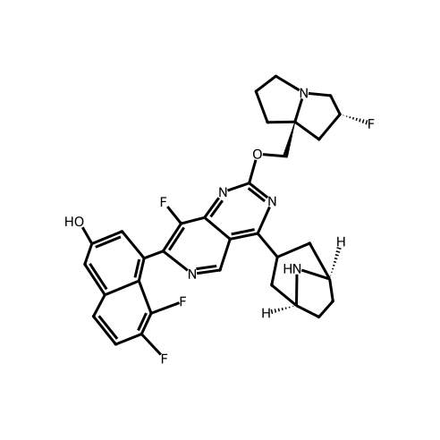 Oc1cc(-c2ncc3c(C4C[C@H]5CC[C@@H](C4)N5)nc(OC[C@@]45CCCN4C[C@H](F)C5)nc3c2F)c2c(F)c(F)ccc2c1